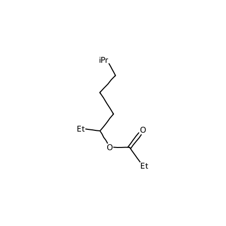 CCC(=O)OC(CC)CCCC(C)C